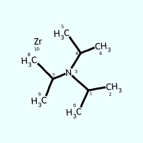 CC(C)N(C(C)C)C(C)C.[Zr]